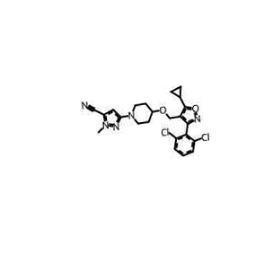 Cn1nc(N2CCC(OCc3c(-c4c(Cl)cccc4Cl)noc3C3CC3)CC2)cc1C#N